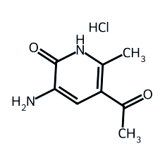 CC(=O)c1cc(N)c(=O)[nH]c1C.Cl